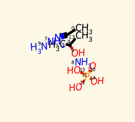 CC#N.CC(C)O.N.N.N.O=P(O)(O)O